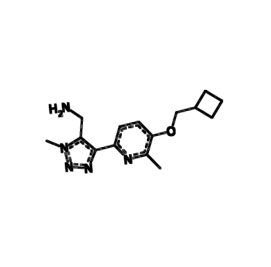 Cc1nc(-c2nnn(C)c2CN)ccc1OCC1CCC1